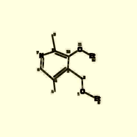 CCOCc1c(C)cnc(C)c1OCC